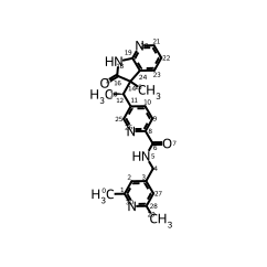 Cc1cc(CNC(=O)c2ccc([C@@H](C)C3(C)C(=O)Nc4ncccc43)cn2)cc(C)n1